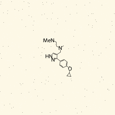 CNCCN(C)Cc1c[nH]nc1-c1ccc(OC2CC2)cc1